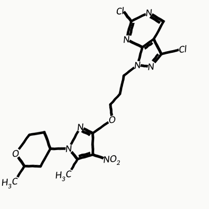 Cc1c([N+](=O)[O-])c(OCCCn2nc(Cl)c3cnc(Cl)nc32)nn1C1CCOC(C)C1